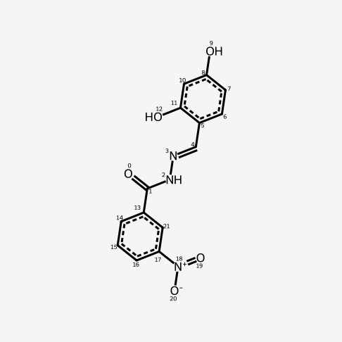 O=C(NN=Cc1ccc(O)cc1O)c1cccc([N+](=O)[O-])c1